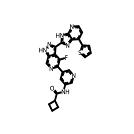 O=C(Nc1cncc(-c2ncc3[nH]nc(-c4nc5c(-c6cccs6)ccnc5[nH]4)c3c2F)c1)C1CCC1